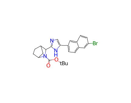 CC(C)(C)OC(=O)N1C2CCC(C2)C1c1ncc(-c2ccc3cc(Br)ccc3c2)[nH]1